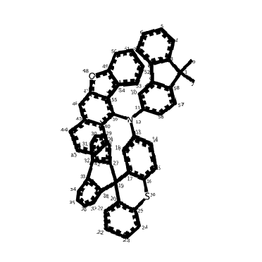 CC1(C)c2ccccc2-c2cc(N(c3ccc4c(c3)C3(c5ccccc5S4)c4ccccc4-c4ccccc43)c3c4ccccc4cc4oc5ccccc5c34)ccc21